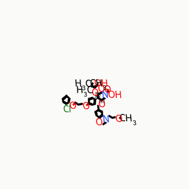 COCCCN1CCOc2ccc(CO[C@H]3CN(C(=O)O)C[C@@H](OC(C(=O)O)C(C)(C)C)[C@@H]3c3ccc(OCCCOc4ccccc4Cl)cc3)cc21